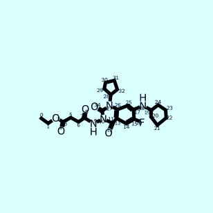 CCOC(=O)CCC(=O)Nn1c(=O)c2cc(F)c(NC3CCCCC3)cc2n(C2CCCC2)c1=O